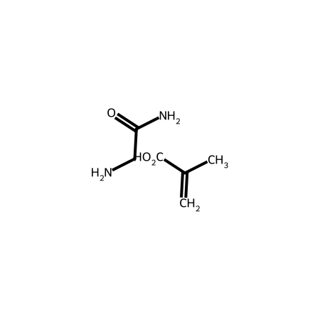 C=C(C)C(=O)O.NCC(N)=O